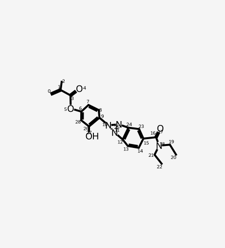 C=C(C)C(=O)Oc1ccc(-n2n3c4ccc(C(=O)N(CC)CC)cc4n23)c(O)c1